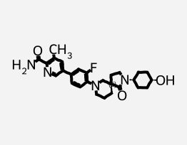 Cc1cc(-c2ccc(N3CCC[C@]4(CCN([C@H]5CC[C@@H](O)CC5)C4=O)C3)c(F)c2)cnc1C(N)=O